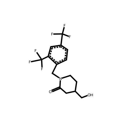 O=C1CC(CO)CCN1Cc1ccc(C(F)(F)F)cc1C(F)(F)F